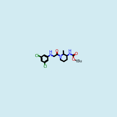 CC1C(NC(=O)OC(C)(C)C)CCCN1C(=O)CNc1cc(Cl)cc(Cl)c1